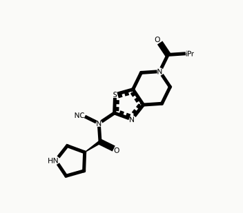 CC(C)C(=O)N1CCc2nc(N(C#N)C(=O)[C@H]3CCNC3)sc2C1